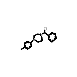 Cc1ccc(N2CCN(C(Cl)c3ccccc3)CC2)cc1